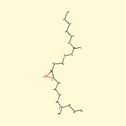 CCCCCCC(C)CCCCC1OC1CCCCC(C)CCC